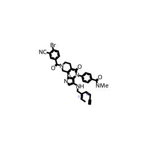 C#C/C=C\C(=C/C)CNc1cnn2c3c(c(=O)n(-c4ccc(C(=O)NC)cc4)c12)CCN(C(=O)c1ccc(Br)c(C#N)c1)C3